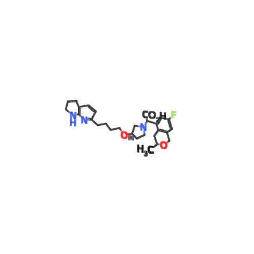 CC1Cc2c(cc(F)cc2C(C(=O)O)N2CC[C@@H](OCCCCc3ccc4c(n3)NCCC4)C2)CO1